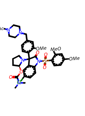 COc1ccc(S(=O)(=O)N2C(=O)C(c3ccc(CN4CCN(C(C)=O)CC4)cc3OC)(N3CCC[C@@H]3OC(=O)N(C)C)c3cc(Cl)ccc32)c(OC)c1